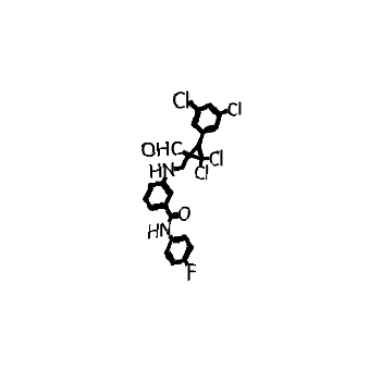 O=CC1(CNc2cccc(C(=O)Nc3ccc(F)cc3)c2)C(c2cc(Cl)cc(Cl)c2)C1(Cl)Cl